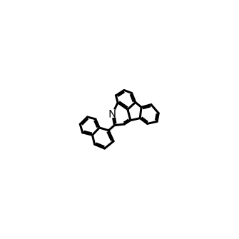 c1ccc2c(c1)-c1cccc3nc(-c4cccc5ccccc45)cc-2c13